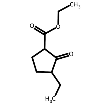 CCOC(=O)C1CCC(CC)C1=O